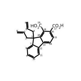 C=CCC1(CC=C)c2ccccc2-c2ccc(C(=O)O)c(C(=O)O)c21